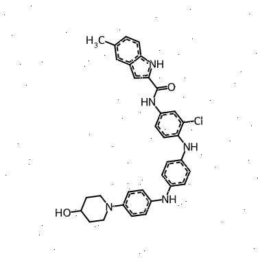 Cc1ccc2[nH]c(C(=O)Nc3ccc(Nc4ccc(Nc5ccc(N6CCC(O)CC6)cc5)cc4)c(Cl)c3)cc2c1